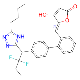 CCCCc1nnc(C(c2ccc(-c3ccccc3/C=C3\OC(=O)C=C3O)cc2)C(F)(F)CC)[nH]1